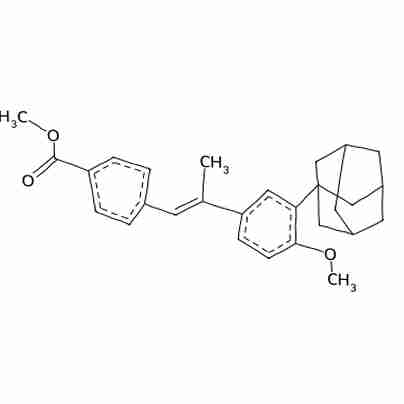 COC(=O)c1ccc(C=C(C)c2ccc(OC)c(C34CC5CC(CC(C5)C3)C4)c2)cc1